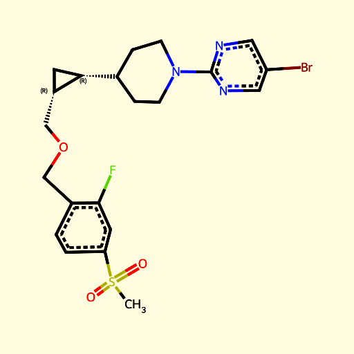 CS(=O)(=O)c1ccc(COC[C@@H]2C[C@@H]2C2CCN(c3ncc(Br)cn3)CC2)c(F)c1